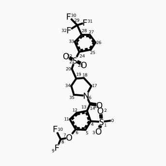 CS(=O)(=O)c1cc(OC(F)F)ccc1C(=O)N1CCC(CS(=O)(=O)c2cccc(C(F)(F)F)c2)CC1